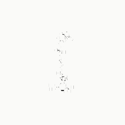 CC1(C)C#CC(C)(C)CS(=O)(=NC(=O)NCCSSCCNC(=O)CCC(=O)ON2C(=O)CCC2=O)C1